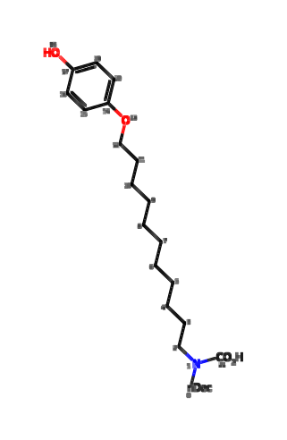 CCCCCCCCCCN(CCCCCCCCCCCOc1ccc(O)cc1)C(=O)O